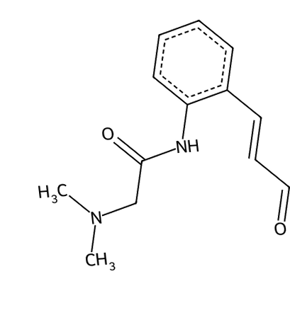 CN(C)CC(=O)Nc1ccccc1/C=C/[C]=O